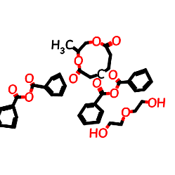 CC1COC(=O)CCCCC(=O)O1.O=C(OC(=O)c1ccccc1)c1ccccc1.O=C(OC(=O)c1ccccc1)c1ccccc1.OCCOCCO